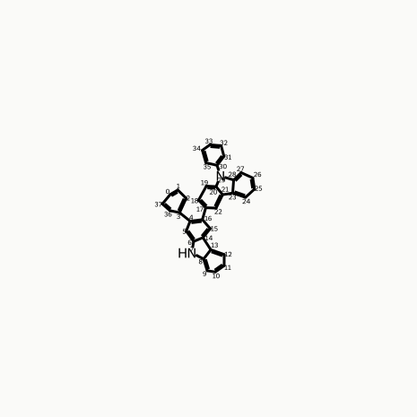 c1ccc(-c2cc3[nH]c4ccccc4c3cc2-c2ccc3c(c2)c2ccccc2n3-c2ccccc2)cc1